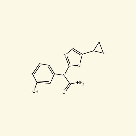 NC(=O)N(c1cccc(O)c1)c1ncc(C2CC2)s1